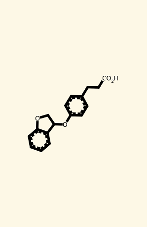 O=C(O)CCc1ccc(OC2COc3ccccc32)cc1